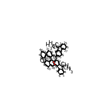 CC1(C)c2ccccc2-c2ccc(N(c3ccc4c(c3)C(C)(C)c3ccccc3-4)c3ccccc3-c3cccc4ccc5oc6ccccc6c5c34)cc21